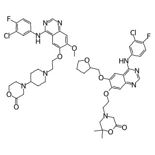 CC1(C)CN(CCOc2cc3ncnc(Nc4ccc(F)c(Cl)c4)c3cc2OCC2CCCO2)CC(=O)O1.COc1cc2ncnc(Nc3ccc(F)c(Cl)c3)c2cc1OCCN1CCC(N2CCOC(=O)C2)CC1